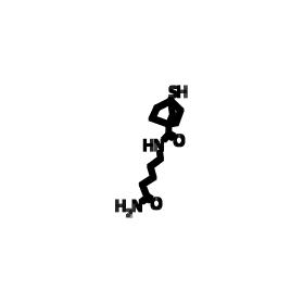 NC(=O)CCCCNC(=O)C12CCC(S)(CC1)C2